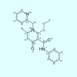 CCCc1c(C(=O)Nc2ccccc2)c(=O)cc(C)n1Cc1ccccn1